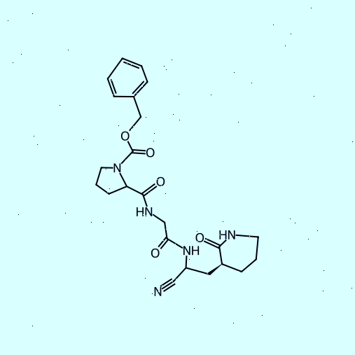 N#CC(C[C@@H]1CCCNC1=O)NC(=O)CNC(=O)C1CCCN1C(=O)OCc1ccccc1